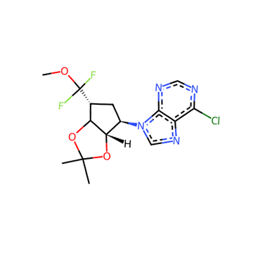 COC(F)(F)[C@@H]1C[C@@H](n2cnc3c(Cl)ncnc32)[C@@H]2OC(C)(C)OC21